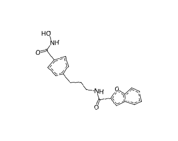 O=C(NO)c1ccc(CCCNC(=O)c2cc3ccccc3o2)cc1